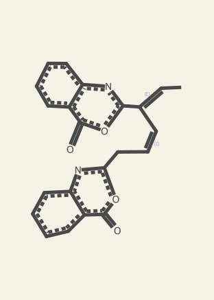 C/C=C(\C=C/Cc1nc2ccccc2c(=O)o1)c1nc2ccccc2c(=O)o1